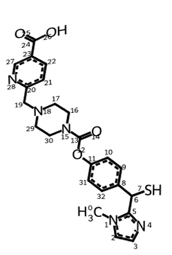 Cn1ccnc1C(S)c1ccc(OC(=O)N2CCN(Cc3ccc(C(=O)O)cn3)CC2)cc1